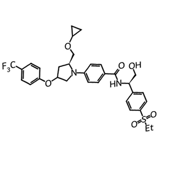 CCS(=O)(=O)c1ccc([C@H](CO)NC(=O)c2ccc(N3CC(Oc4ccc(C(F)(F)F)cc4)C[C@H]3COC3CC3)cc2)cc1